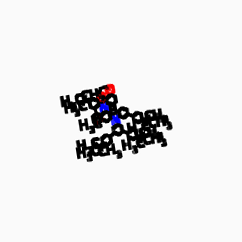 Cc1cc2c3c(c1)N(c1ccc(C(C)(C)C)cc1-c1ccccc1)c1c(ccc4c1OCCCO4)B3c1ccc(-c3ccc(C(C)(C)C)cc3)cc1N2c1cc(-c2ccc(C(C)(C)C)cc2)cc(-c2ccc(C(C)(C)C)cc2)c1